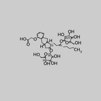 CCCCC[C@H](CC[C@H]1[C@@H]2Cc3cccc(OCC(=O)O)c3C[C@@H]2C[C@@H]1O[C@@H]1O[C@H](CO)[C@H](O)[C@H](O)[C@H]1O)O[C@@H]1O[C@H](CO)[C@H](O)[C@H](O)[C@H]1O